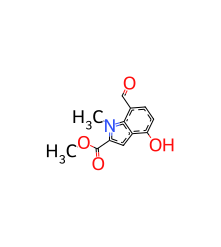 COC(=O)c1cc2c(O)ccc(C=O)c2n1C